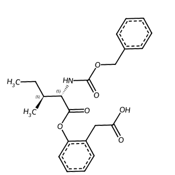 CC[C@H](C)[C@H](NC(=O)OCc1ccccc1)C(=O)Oc1ccccc1CC(=O)O